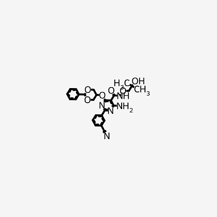 CC(C)(O)CONC(=O)c1c(N)nc(-c2cccc(C#N)c2)nc1OC1COC(c2ccccc2)OC1